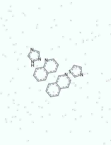 c1ccc2cnccc2c1.c1ccc2ncccc2c1.c1cscn1.c1nc[nH]n1